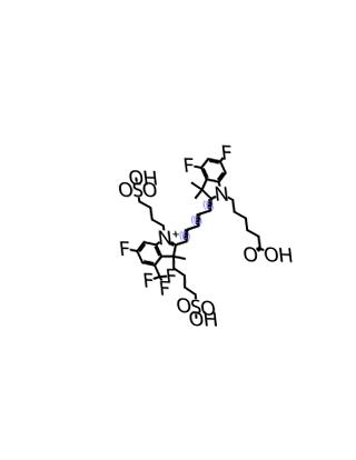 CC1(CCCCS(=O)(=O)O)C(/C=C/C=C/C=C2/N(CCCCCC(=O)O)c3cc(F)cc(F)c3C2(C)C)=[N+](CCCCS(=O)(=O)O)c2cc(F)cc(C(F)(F)F)c21